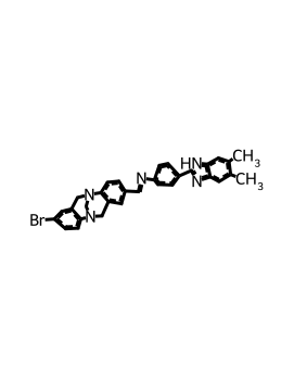 Cc1cc2nc(-c3ccc(/N=C/c4ccc5c(c4)CN4CN5Cc5cc(Br)ccc54)cc3)[nH]c2cc1C